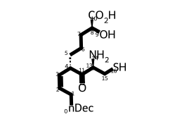 CCCCCCCCCCC/C=C\[C@H](CCC[C@H](O)C(=O)O)C(=O)[C@@H](N)CS